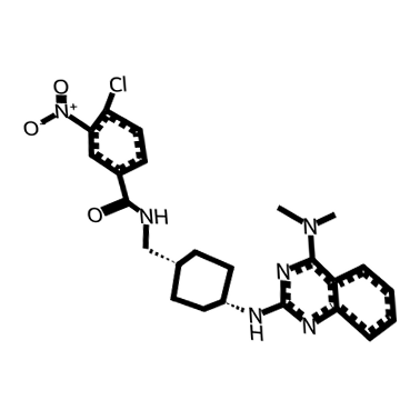 CN(C)c1nc(N[C@H]2CC[C@@H](CNC(=O)c3ccc(Cl)c([N+](=O)[O-])c3)CC2)nc2ccccc12